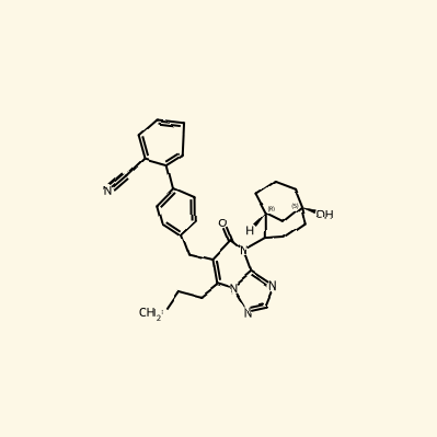 CCCc1c(Cc2ccc(-c3ccccc3C#N)cc2)c(=O)n(C2CC[C@@]3(O)CCC[C@@H]2C3)c2ncnn12.[CH2]